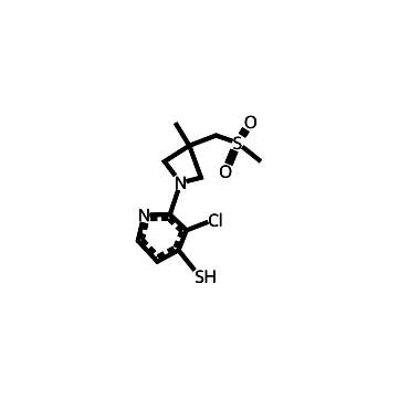 CC1(CS(C)(=O)=O)CN(c2nccc(S)c2Cl)C1